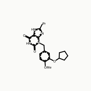 COc1ccc(Cn2c(=O)[nH]c(=O)c3[nH]c(C(C)C)nc32)cc1OC1CCCC1